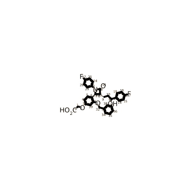 O=C(O)COc1ccc([C@@H]2[C@@H](CC[C@H](O)c3ccc(F)cc3)C(=O)N2c2ccc(F)cc2)c(OCc2ccccc2)c1